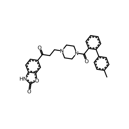 Cc1ccc(-c2ccccc2C(=O)N2CCN(CCC(=O)c3ccc4[nH]c(=O)oc4c3)CC2)cc1